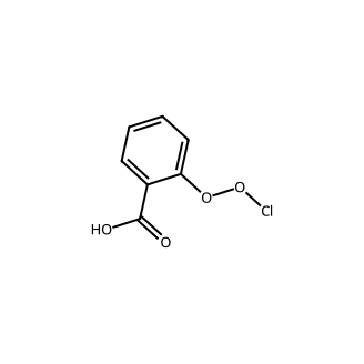 O=C(O)c1ccccc1OOCl